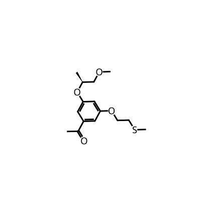 COC[C@H](C)Oc1cc(OCCSC)cc(C(C)=O)c1